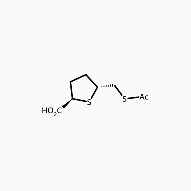 CC(=O)SC[C@H]1CC[C@H](C(=O)O)S1